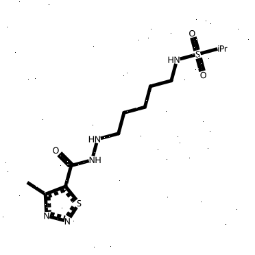 Cc1nnsc1C(=O)NNCCCCCNS(=O)(=O)C(C)C